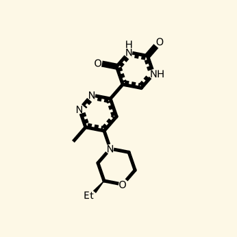 CC[C@H]1CN(c2cc(-c3c[nH]c(=O)[nH]c3=O)nnc2C)CCO1